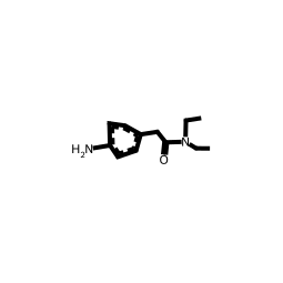 CCN(CC)C(=O)Cc1ccc(N)cc1